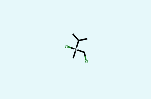 CC(C)[Si](C)(Cl)CCl